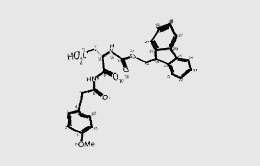 COc1ccc(CC(=O)NC(=O)[C@H](CC(=O)O)NC(=O)OCC2c3ccccc3-c3ccccc32)cc1